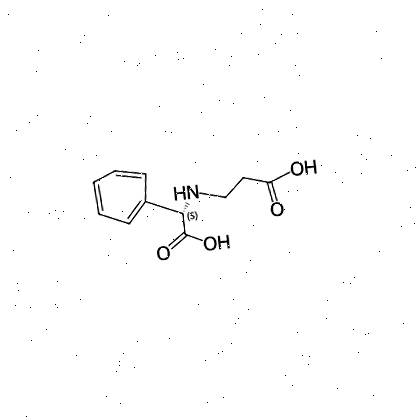 O=C(O)CCN[C@H](C(=O)O)c1ccccc1